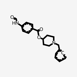 O=CNc1ccc(C(=O)OC2CCN(Cc3ccccc3)CC2)cc1